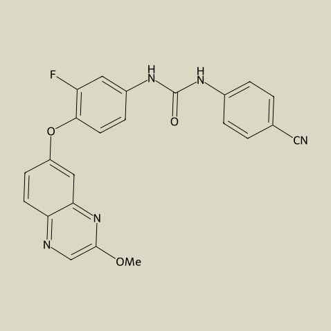 COc1cnc2ccc(Oc3ccc(NC(=O)Nc4ccc(C#N)cc4)cc3F)cc2n1